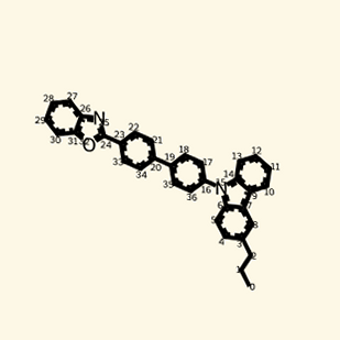 CCCc1ccc2c(c1)c1ccccc1n2-c1ccc(-c2ccc(-c3nc4ccccc4o3)cc2)cc1